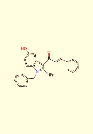 CC(C)c1c(C(=O)/C=C/c2ccccc2)c2cc(O)ccc2n1Cc1ccccc1